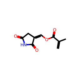 C=C(C)C(=O)OC=C1CC(=O)NC1=O